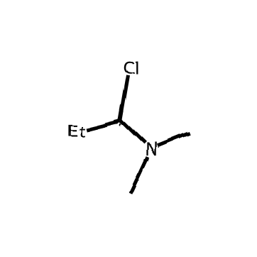 CC[C](Cl)N(C)C